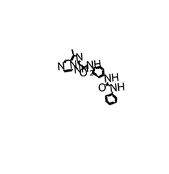 CC1=C2C=NC=C[N+]2(N)C(C(=O)Nc2ccc(NC(=O)Nc3ccccc3)cc2)=N1